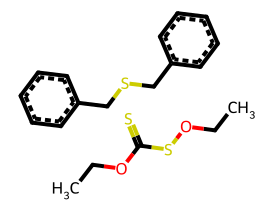 CCOSC(=S)OCC.c1ccc(CSCc2ccccc2)cc1